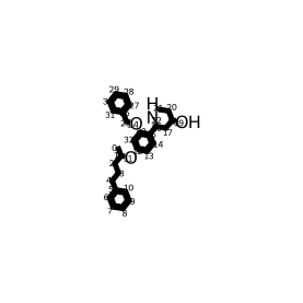 CC(CCCc1ccccc1)Oc1ccc(C2CC(O)CCN2)c(OCc2ccccc2)c1